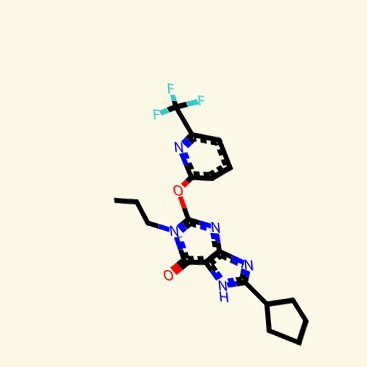 CCCn1c(Oc2cccc(C(F)(F)F)n2)nc2nc(C3CCCC3)[nH]c2c1=O